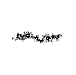 CCC(CCOC(=O)N(C)C1CC(C)(C)CC(C)(CNC(=O)Nc2nc(=O)cc(C)[nH]2)C1)CCC(CC)CC(CC)CCOC(=O)NC1CC(C)(C)CC(C)(CNC(=O)Nc2nc(=O)cc(C)n2C)C1